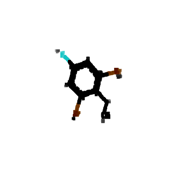 N#CCc1c(Br)cc(F)cc1Br